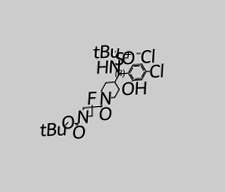 CC(C)(C)OC(=O)N1CC(F)(C(=O)N2CCC([C@@H](N[S+]([O-])C(C)(C)C)c3cc(Cl)c(Cl)cc3O)CC2)C1